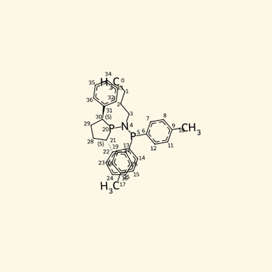 CCCCN(P(c1ccc(C)cc1)c1ccc(C)cc1)P1[C@H](c2ccccc2)CC[C@H]1c1ccccc1